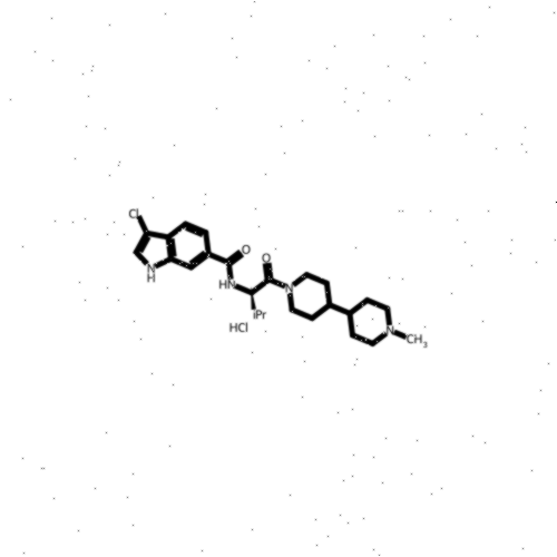 CC(C)[C@@H](NC(=O)c1ccc2c(Cl)c[nH]c2c1)C(=O)N1CCC(C2CCN(C)CC2)CC1.Cl